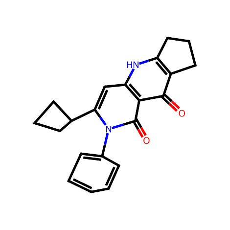 O=c1c2c([nH]c3cc(C4CCC4)n(-c4ccccc4)c(=O)c13)CCC2